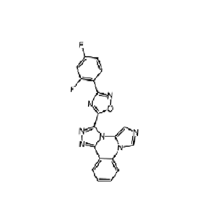 Fc1ccc(-c2noc(-c3nnc4c5ccccc5n5cncc5n34)n2)c(F)c1